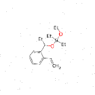 C=Cc1ccccc1C(CC)O[Si](CC)(CC)OCC